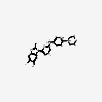 Cc1nc2cc(F)c(F)cc2n1-c1cncc(Nc2ccc(N3CCOCC3)nc2)n1